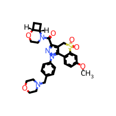 COc1ccc2c(c1)S(=O)(=O)Cc1c(C(=O)N3CCO[C@@H]4CC[C@@H]43)nn(-c3ccc(CN4CCOCC4)cc3)c1-2